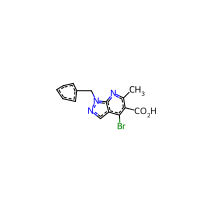 Cc1nc2c(cnn2Cc2ccccc2)c(Br)c1C(=O)O